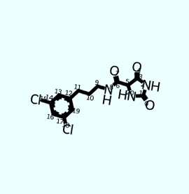 O=C1NC(=O)C(C(=O)NCCCc2cc(Cl)cc(Cl)c2)N1